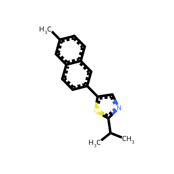 Cc1ccc2cc(-c3cnc(C(C)C)s3)ccc2c1